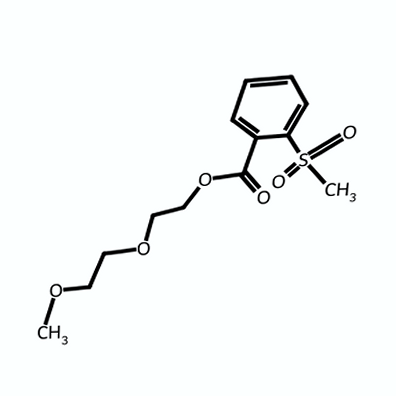 COCCOCCOC(=O)c1ccccc1S(C)(=O)=O